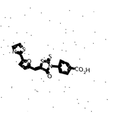 O=C(O)c1ccc(N2C(=O)C(=Cc3ccc(-c4nccs4)o3)SC2=S)cc1